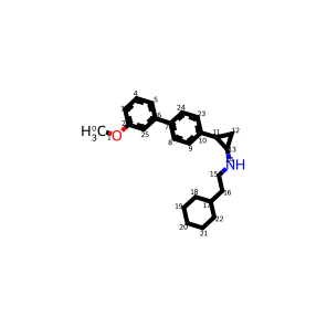 COc1cccc(-c2ccc(C3CC3NCCC3CCCCC3)cc2)c1